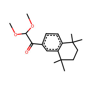 COC(OC)C(=O)c1ccc2c(c1)C(C)(C)CCC2(C)C